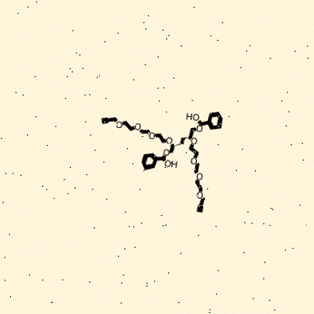 C#CCOCCOCCOCCO[C@H](CC[C@H](COC(O)c1ccccc1)OCCOCCOCCOCC#C)COC(O)c1ccccc1